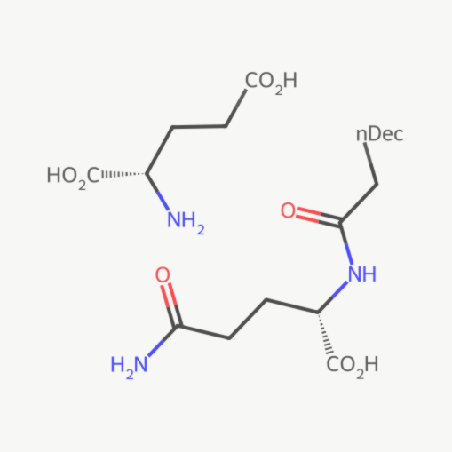 CCCCCCCCCCCC(=O)N[C@@H](CCC(N)=O)C(=O)O.N[C@@H](CCC(=O)O)C(=O)O